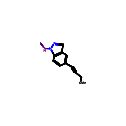 COCC#Cc1ccc2c(cnn2PI)c1